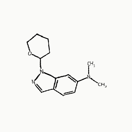 CN(C)c1ccc2cnn(C3CCCCO3)c2c1